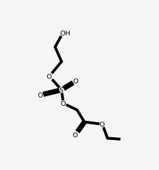 CCOC(=O)COS(=O)(=O)OCCO